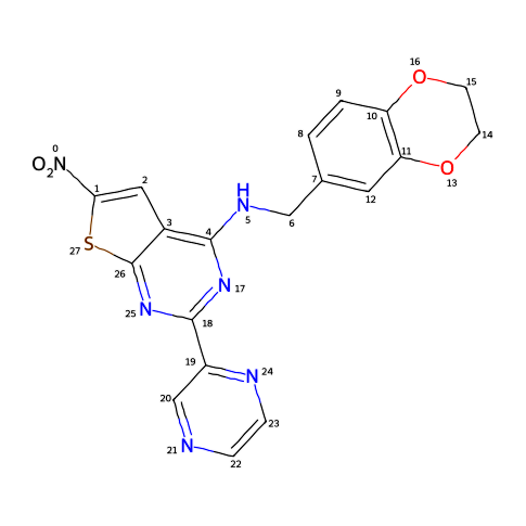 O=[N+]([O-])c1cc2c(NCc3ccc4c(c3)OCCO4)nc(-c3cnccn3)nc2s1